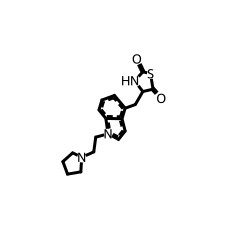 O=C1NC(Cc2cccc3c2ccn3CCN2CCCC2)C(=O)S1